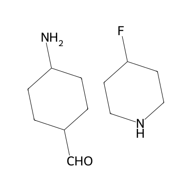 FC1CCNCC1.NC1CCC(C=O)CC1